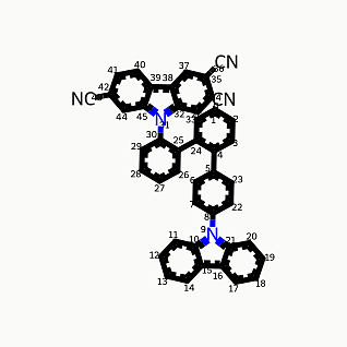 N#Cc1ccc(-c2ccc(-n3c4ccccc4c4ccccc43)cc2)c(-c2ccccc2-n2c3ccc(C#N)cc3c3ccc(C#N)cc32)c1